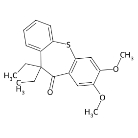 CCC1(CC)C(=O)c2cc(OC)c(OC)cc2Sc2ccccc21